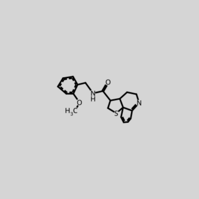 COc1ccccc1CNC(=O)C1CSC23C=CC=CC2=NCCC13